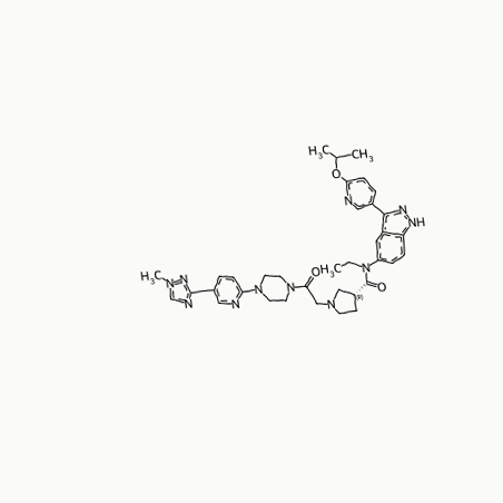 CCN(C(=O)[C@@H]1CCN(CC(=O)N2CCN(c3ccc(-c4ncn(C)n4)cn3)CC2)C1)c1ccc2[nH]nc(-c3ccc(OC(C)C)nc3)c2c1